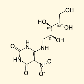 O=c1[nH]c(NC[C@H](O)[C@@H](O)[C@@H](O)CO)c([N+](=O)[O-])c(=O)[nH]1